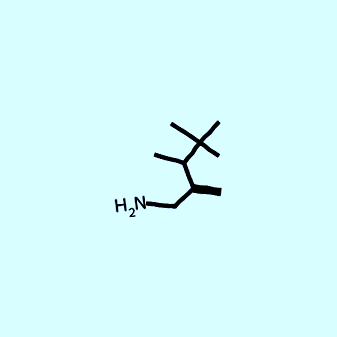 C=C(CN)C(C)C(C)(C)C